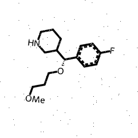 COCCCO[C@@H](c1ccc(F)cc1)C1CCCNC1